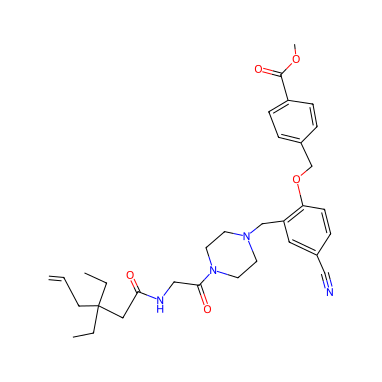 C=CCC(CC)(CC)CC(=O)NCC(=O)N1CCN(Cc2cc(C#N)ccc2OCc2ccc(C(=O)OC)cc2)CC1